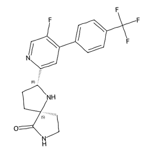 O=C1NCC[C@@]12CC[C@H](c1cc(-c3ccc(C(F)(F)F)cc3)c(F)cn1)N2